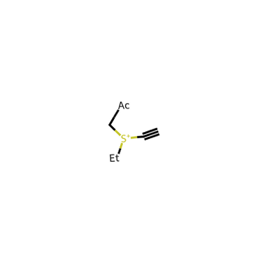 C#C[S+](CC)CC(C)=O